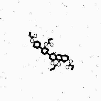 C=CC(=O)Oc1ccc(-c2ccc(-c3ccc4c(OC(=O)C=C)c5cc(OC(=O)C=C)ccc5cc4c3)cc2OC(=O)C=C)cc1